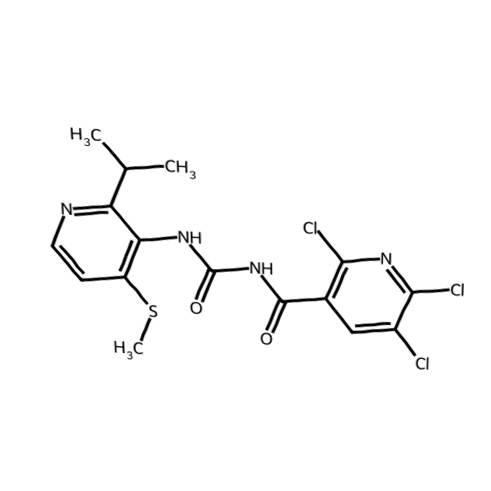 CSc1ccnc(C(C)C)c1NC(=O)NC(=O)c1cc(Cl)c(Cl)nc1Cl